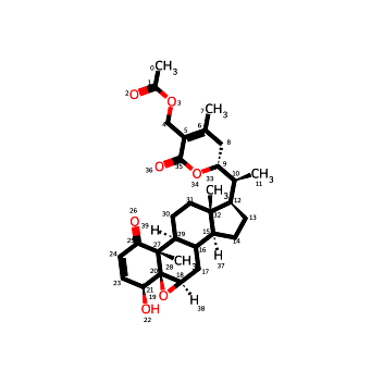 CC(=O)OCC1=C(C)C[C@H]([C@@H](C)[C@H]2CC[C@H]3C4C[C@H]5O[C@]56[C@@H](O)C=CC(=O)[C@]6(C)[C@H]4CC[C@]23C)OC1=O